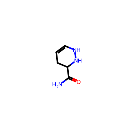 NC(=O)C1CC=CNN1